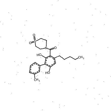 CCCCCc1cc(O)c(-c2cccc(C)c2)c(O)c1C(=O)N1CCS(=O)(=O)CC1